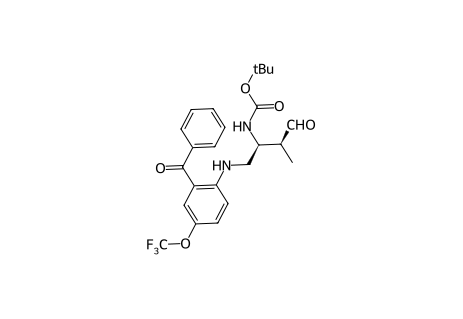 C[C@H](C=O)[C@@H](CNc1ccc(OC(F)(F)F)cc1C(=O)c1ccccc1)NC(=O)OC(C)(C)C